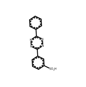 O=S(=O)(O)c1cccc(-c2nnc(-c3ccccc3)nn2)c1